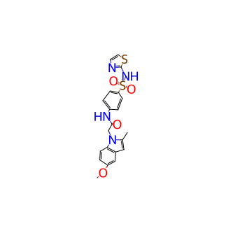 COc1ccc2c(c1)cc(C)n2CC(=O)Nc1ccc(S(=O)(=O)Nc2nccs2)cc1